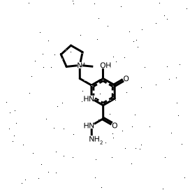 C[N+]1(Cc2[nH]c(C(=O)NN)cc(=O)c2O)CCCC1